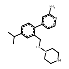 CC(C)c1ccc(-c2ccnc(N)c2)c(CNN2CCNCC2)c1